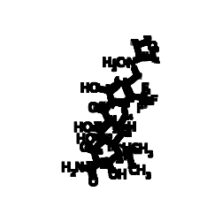 CN(Cc1cc(O)c2c(c1C(F)(F)F)C[C@H]1C[C@H]3[C@H](N(C)C)C(O)=C(C(N)=O)C(=O)[C@@]3(O)C(O)=C1C2=O)C1CCOC1